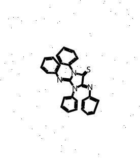 S=C1/C(=N/c2ccccc2)N(c2ccccc2)/C(=N/c2ccccc2)N1c1ccccc1